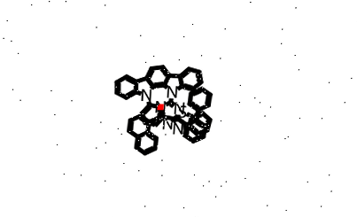 c1ccc(-c2ccccc2-c2nc(-c3cccc4ccccc34)nc(-n3c4ccccc4c4ccc5c6ccccc6n(-c6cccc(-c7nc8ccccc8s7)c6)c5c43)n2)cc1